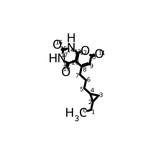 CCC1CC1CCCc1cc(=O)oc2[nH]c(=O)[nH]c(=O)c12